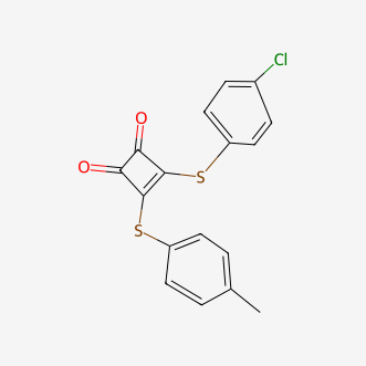 Cc1ccc(Sc2c(Sc3ccc(Cl)cc3)c(=O)c2=O)cc1